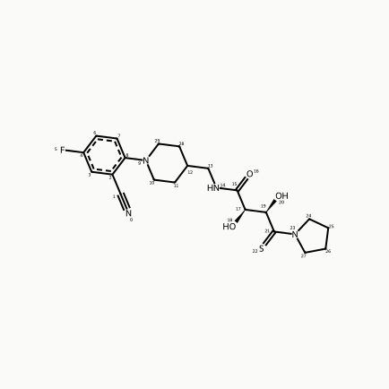 N#Cc1cc(F)ccc1N1CCC(CNC(=O)[C@H](O)[C@@H](O)C(=S)N2CCCC2)CC1